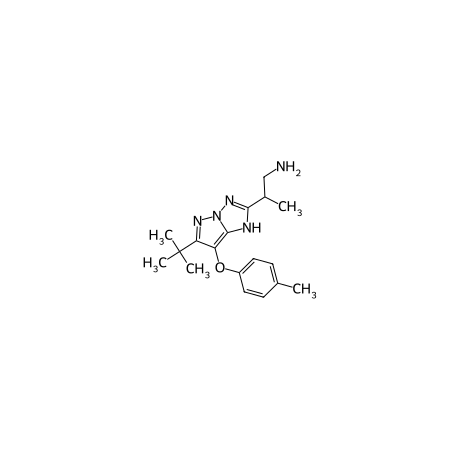 Cc1ccc(Oc2c(C(C)(C)C)nn3nc(C(C)CN)[nH]c23)cc1